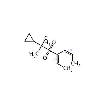 C/C=C\C(=C/C)S(=O)(=O)C(C)(C)C1CC1